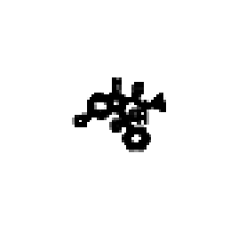 O=C(NC1CC1)c1[nH]c2ccc(Cl)cc2c1S(=O)(=O)c1ccccc1